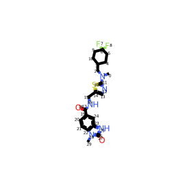 CN(CC1CCC(F)(F)CC1)c1ncc(CNC(=O)c2ccc3c(c2)[nH]c(=O)n3C)s1